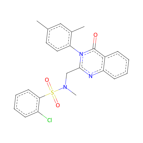 Cc1ccc(-n2c(CN(C)S(=O)(=O)c3ccccc3Cl)nc3ccccc3c2=O)c(C)c1